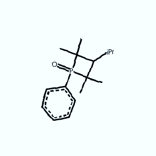 CC(C)C1C(C)(C)P(=O)(c2ccccc2)C1(C)C